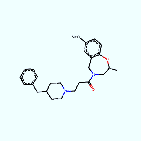 COc1ccc2c(c1)CN(C(=O)CCN1CCC(Cc3ccccc3)CC1)C[C@H](C)O2